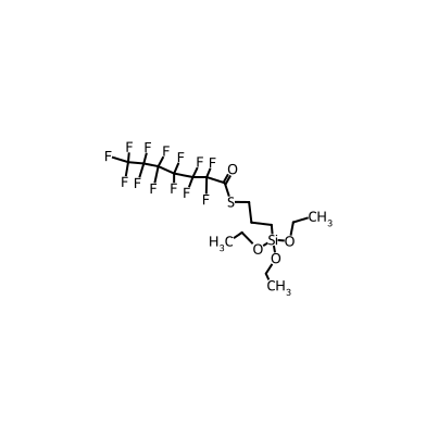 CCO[Si](CCCSC(=O)C(F)(F)C(F)(F)C(F)(F)C(F)(F)C(F)(F)C(F)(F)F)(OCC)OCC